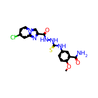 COc1ccc(NC(=S)NNC(=O)c2cn3ccc(Cl)cc3n2)cc1C(N)=O